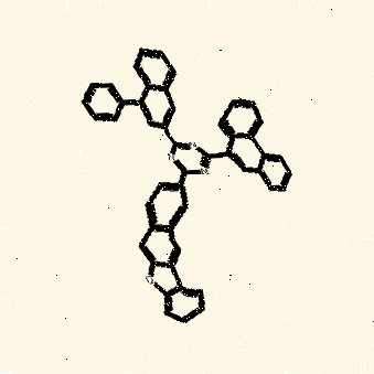 c1ccc(-c2cc(-c3nc(-c4ccc5cc6oc7ccccc7c6cc5c4)nc(-c4cc5ccccc5c5ccccc45)n3)cc3ccccc23)cc1